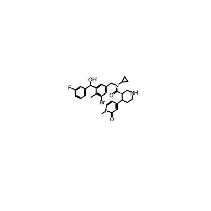 Cc1c(Br)cc(CN(C(=O)[C@H]2CNCCC2c2ccn(C)c(=O)c2)C2CC2)cc1C(O)c1cccc(F)c1